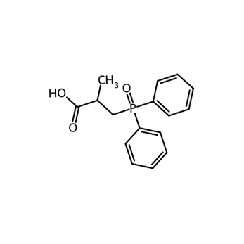 CC(CP(=O)(c1ccccc1)c1ccccc1)C(=O)O